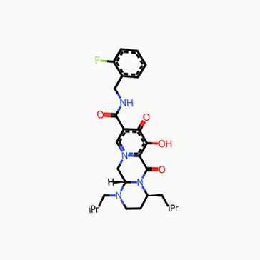 CC(C)C[C@H]1CCN(CC(C)C)[C@@H]2Cn3cc(C(=O)NCc4ccccc4F)c(=O)c(O)c3C(=O)N12